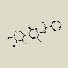 CCC1OCC(n2cc(C)c(NC(=O)c3ccccc3)nc2=O)C(F)C1O